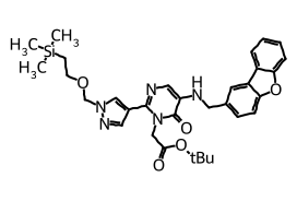 CC(C)(C)OC(=O)Cn1c(-c2cnn(COCC[Si](C)(C)C)c2)ncc(NCc2ccc3oc4ccccc4c3c2)c1=O